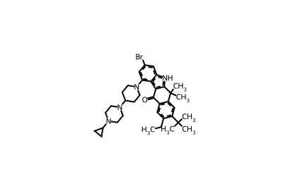 CCc1cc2c(cc1C(C)(C)C)C(C)(C)c1[nH]c3cc(Br)cc(N4CCC(N5CCN(C6CC6)CC5)CC4)c3c1C2=O